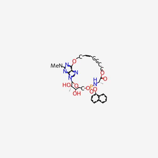 CNc1nc2c3ncn(c3n1)C1OC(COP(=O)(Oc3cccc4ccccc34)N[C@@H](C)C(=O)OCCCCC=CCCO2)[C@@H](O)[C@@]1(C)O